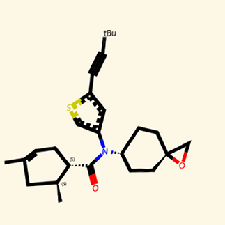 CC1=CC[C@H](C(=O)N(c2csc(C#CC(C)(C)C)c2)[C@H]2CC[C@@]3(CC2)CO3)[C@@H](C)C1